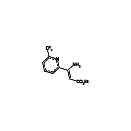 CCOC(=O)/C=C(\N)c1cccc(C(F)(F)F)n1